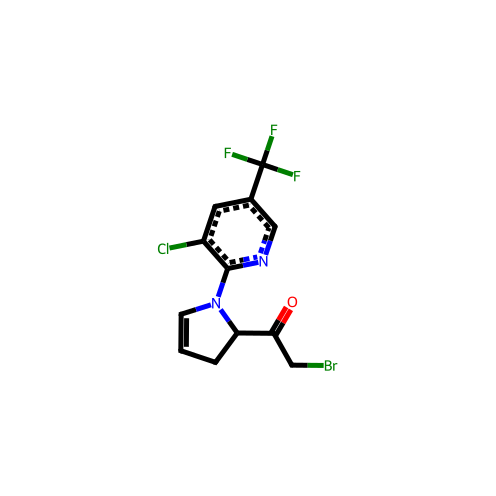 O=C(CBr)C1CC=CN1c1ncc(C(F)(F)F)cc1Cl